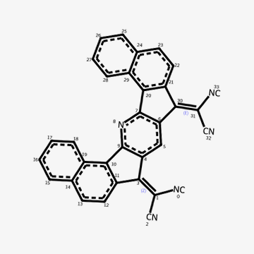 [C-]#[N+]/C(C#N)=C1\c2cc3c(nc2-c2c1ccc1ccccc21)-c1c(ccc2ccccc12)/C3=C(/C#N)[N+]#[C-]